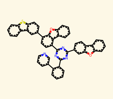 c1cncc(-c2ccccc2-c2nc(-c3ccc4c(c3)oc3ccccc34)nc(-c3ccc(-c4ccc5sc6ccccc6c5c4)c4oc5ccccc5c34)n2)c1